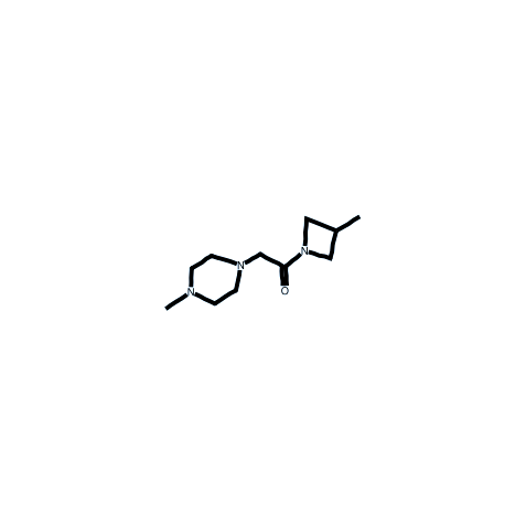 CC1CN(C(=O)CN2CCN(C)CC2)C1